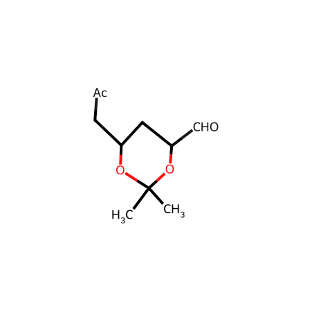 CC(=O)CC1CC(C=O)OC(C)(C)O1